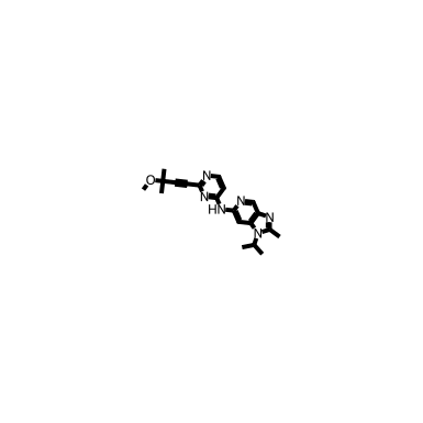 COC(C)(C)C#Cc1nccc(Nc2cc3c(cn2)nc(C)n3C(C)C)n1